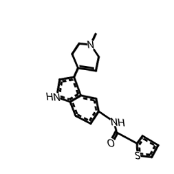 CN1CC=C(c2c[nH]c3ccc(NC(=O)c4cccs4)cc23)CC1